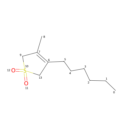 CCCCCCC1=C(C)CS(=O)(=O)C1